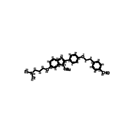 CCCCn1c(-c2ccc(OCCc3ccc(C=O)cc3)cc2)nc2ccc(OCCCN(CC)CC)cc21